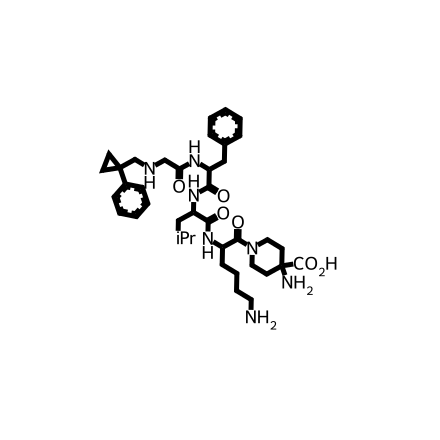 CC(C)CC(NC(=O)C(Cc1ccccc1)NC(=O)CNCC1(c2ccccc2)CC1)C(=O)NC(CCCCN)C(=O)N1CCC(N)(C(=O)O)CC1